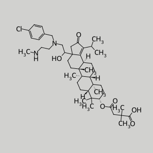 CNCCN(Cc1ccc(Cl)cc1)CC(O)C12CC[C@]3(C)[C@H](CC[C@@H]4[C@@]5(C)CC[C@H](OC(=O)CC(C)(C)C(=O)O)C(C)(C)[C@@H]5CC[C@]43C)C1=C(C(C)C)C(=O)C2